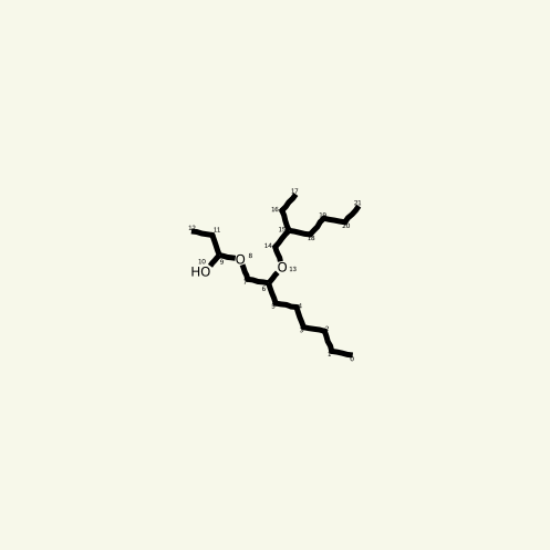 CCCCCCC(COC(O)CC)OCC(CC)CCCC